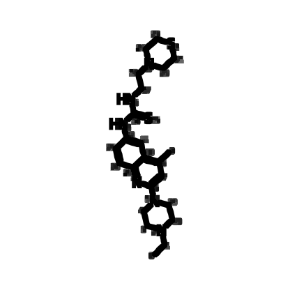 CCN1CCN(c2cc(C)c3cc(NC(=S)NCCN4CCSCC4)ccc3n2)CC1